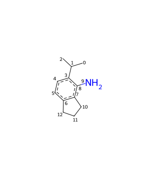 CC(C)c1ccc2c(c1N)CCC2